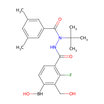 Cc1cc(C)cc(C(=O)N(NC(=O)c2ccc(BO)c(CO)c2F)C(C)(C)C)c1